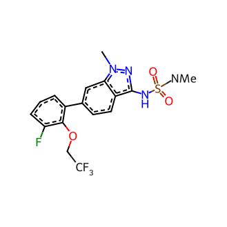 CNS(=O)(=O)Nc1nn(C)c2cc(-c3cccc(F)c3OCC(F)(F)F)ccc12